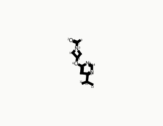 CC(=O)N1CC(Oc2cc(C(C)C)ncn2)C1